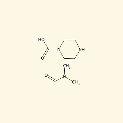 CN(C)C=O.O=C(O)N1CCNCC1